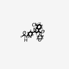 CC(=O)Nc1ccc(-c2cc(C(=O)N3CCOCC3)c3cccc(Cl)c3n2)cn1